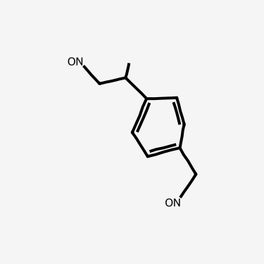 CC(CN=O)c1ccc(CN=O)cc1